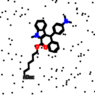 CCCCCCCCCCCCCCCCOC(=O)c1c(C(c2ccccc2)c2ccc(N(C)C)cc2)c2ccccc2n1C